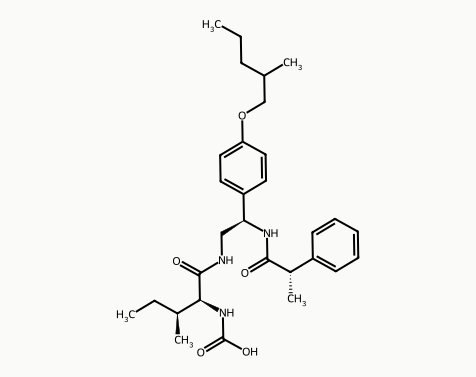 CCCC(C)COc1ccc([C@H](CNC(=O)[C@@H](NC(=O)O)[C@@H](C)CC)NC(=O)[C@@H](C)c2ccccc2)cc1